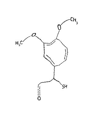 COc1ccc(C(S)C=O)cc1OC